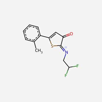 Cc1ccccc1C1=CC(=O)/C(=N/CC(F)F)S1